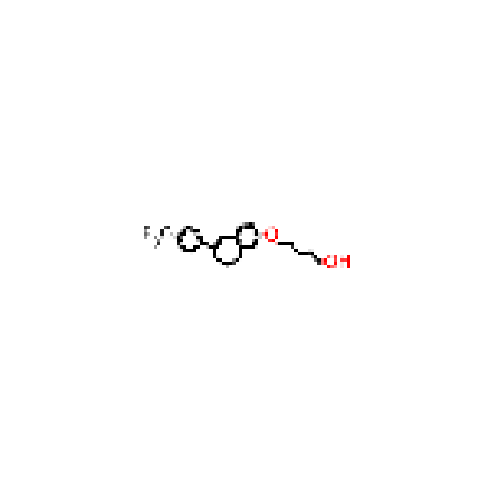 OCCCCCOc1ccc2c(c1)CCCC(c1ccc(C(F)(F)F)cc1)=C2